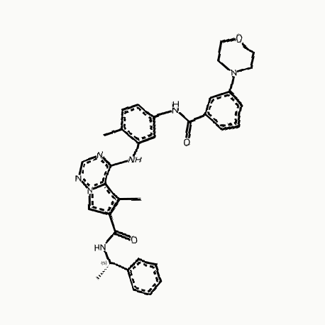 Cc1ccc(NC(=O)c2cccc(N3CCOCC3)c2)cc1Nc1ncnn2cc(C(=O)N[C@@H](C)c3ccccc3)c(C)c12